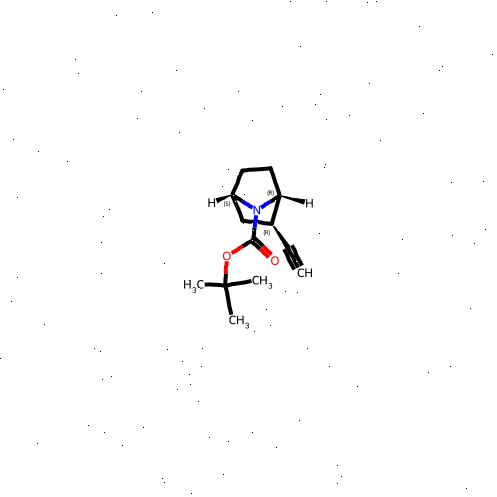 C#C[C@H]1C[C@@H]2CC[C@H]1N2C(=O)OC(C)(C)C